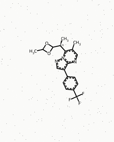 Cc1cnc2c(-c3ccc(C(F)(F)F)cc3)cnn2c1[C@H](C)C1OC(C)O1